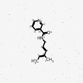 CC=C(C)C=CCNC(=O)c1cccnc1